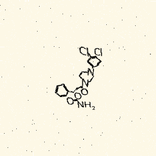 NC(=O)O[C@H](CC(=O)N1CCN(c2ccc(Cl)c(Cl)c2)CC1)c1ccccc1